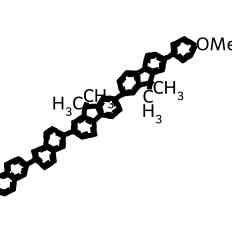 COc1ccc(-c2ccc3c(c2)C(C)(C)c2cc(-c4ccc5c(c4)C(C)(C)c4cc(-c6ccc7cc(-c8ccc9ccccc9c8)ccc7c6)ccc4-5)ccc2-3)cc1